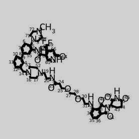 CN1CCN(c2ccc(-c3cccc(CN4CCN(CCNC(=O)CCOCCOCCNc5cccc6c5C(=O)N(C5CCC(=O)NC5=O)C6=O)CC4)c3)cc2NC(=O)c2c[nH]c(=O)cc2C(F)(F)F)CC1